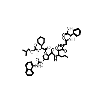 CCCC(NC(=O)C1C[C@@H](NC(=O)Nc2cccc3ccccc23)CN1C(=O)[C@@H](NC(=O)OCC(C)C)C1CCCCC1)C(=O)C(=O)NCC(=O)N[C@H](C(N)=O)c1ccccc1